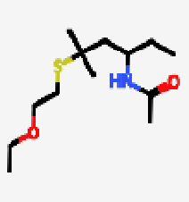 CCOCCSC(C)(C)CC(CC)NC(C)=O